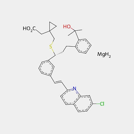 CC(C)(O)c1ccccc1CC[C@@H](SCC1(CC(=O)O)CC1)c1cccc(/C=C/c2ccc3ccc(Cl)cc3n2)c1.[MgH2]